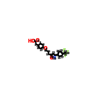 O=C(O)Cc1ccc(OCCCc2cc(-c3ccc(C(F)(F)F)cc3)no2)cc1